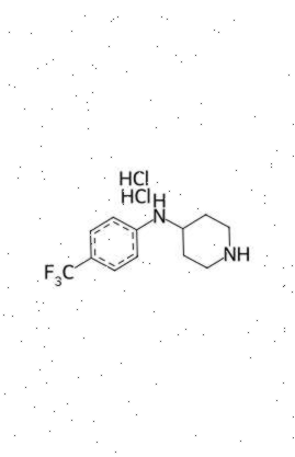 Cl.Cl.FC(F)(F)c1ccc(NC2CCNCC2)cc1